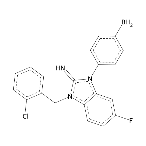 Bc1ccc(-n2c(=N)n(Cc3ccccc3Cl)c3ccc(F)cc32)cc1